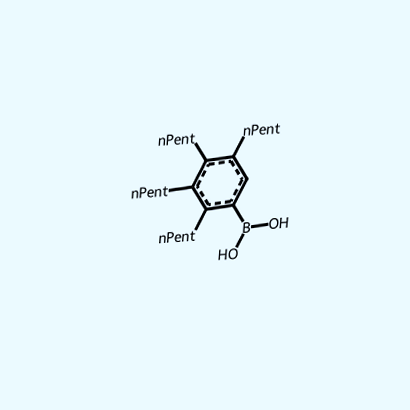 CCCCCc1cc(B(O)O)c(CCCCC)c(CCCCC)c1CCCCC